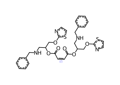 O=C(/C=C\C(=O)OC(CNCc1ccccc1)COc1nccs1)OC(CNCc1ccccc1)COc1nccs1